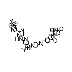 CC(C)n1nc(N2CCC(N(C)Cc3ccc4c(c3)CN(N3CCC(=O)NC3=O)C4=O)CC2)c2cnc(Nc3ccnc(-c4cnn(S(=O)(=O)C5CC5)c4)n3)cc21